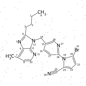 CCCCc1nc2c(C)ccnc2n1Cc1ccc(-n2c(Br)ccc2C#N)nc1